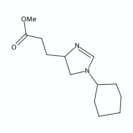 COC(=O)CCC1CN(C2CCCCC2)C=N1